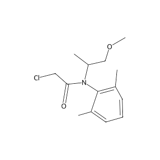 COCC(C)N(C(=O)CCl)c1c(C)cccc1C